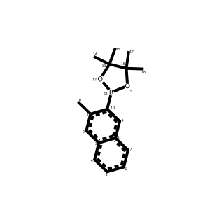 Cc1cc2ccccc2cc1B1OC(C)(C)C(C)(C)O1